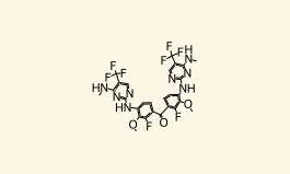 CNc1nc(Nc2ccc(C(=O)c3ccc(Nc4ncc(C(F)(F)F)c(NC)n4)c(OC)c3F)c(F)c2OC)ncc1C(F)(F)F